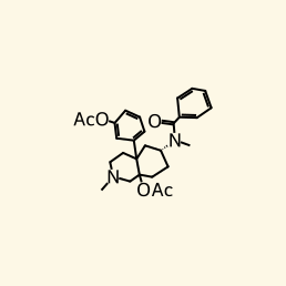 CC(=O)Oc1cccc(C23CCN(C)CC2(OC(C)=O)CC[C@@H](N(C)C(=O)c2ccccc2)C3)c1